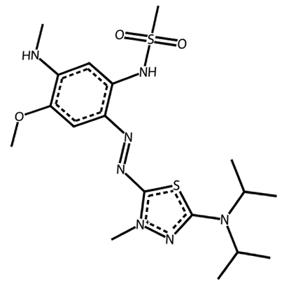 CNc1cc(NS(C)(=O)=O)c(N=Nc2sc(N(C(C)C)C(C)C)n[n+]2C)cc1OC